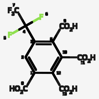 O=C(O)c1cc(C(F)(F)C(F)(F)F)c(C(=O)O)c(C(=O)O)c1C(=O)O